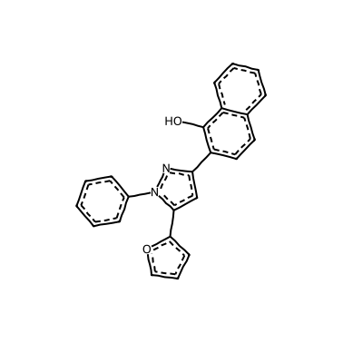 Oc1c(-c2cc(-c3ccco3)n(-c3ccccc3)n2)ccc2ccccc12